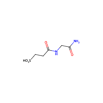 NC(=O)CNC(=O)CCS(=O)(=O)O